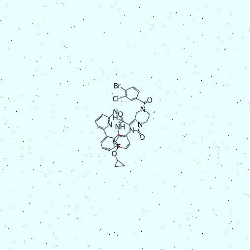 C[C@@H]1Cn2c(c(C(=O)NCc3c(F)cccc3-c3cccc(N)n3)n(-c3ccc(OC4CC4)cc3)c2=O)CN1C(=O)c1ccc(Br)c(Cl)c1